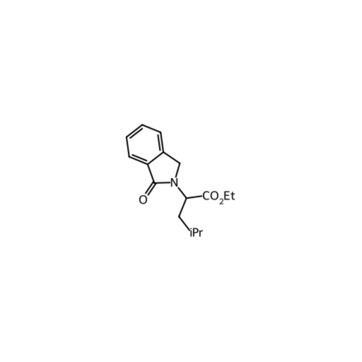 CCOC(=O)C(CC(C)C)N1Cc2ccccc2C1=O